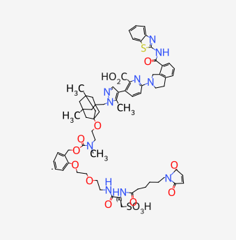 Cc1c(-c2ccc(N3CCc4cccc(C(=O)Nc5nc6ccccc6s5)c4C3)nc2C(=O)O)cnn1CC12CC3(C)CC(C)(C1)CC(OCCN(C)C(=O)OCc1cc[c]cc1OCCOCCNC(=O)[C@H](CS(=O)(=O)O)NC(=O)CCCCCN1C(=O)C=CC1=O)(C3)C2